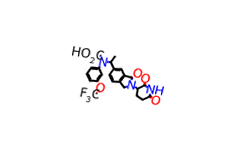 CC(c1ccc2c(c1)C(=O)N(C1CCC(=O)NC1=O)C2)N(C(=O)O)c1cccc(OC(F)(F)F)c1